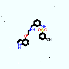 N#Cc1cccc(S(=O)(=O)Nc2cccc(CNCCOc3cccc4[nH]ccc34)c2)c1